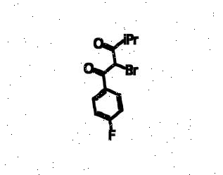 CC(C)C(=O)C(Br)C(=O)c1ccc(F)cc1